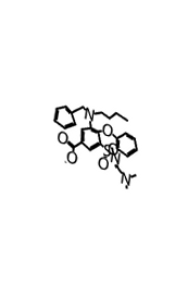 CCCCN(Cc1ccccc1)c1cc(C(=O)OC)cc(S(=O)(=O)N=CN(C)C)c1Oc1ccccc1